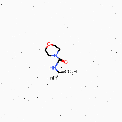 CCC[C@H](NC(=O)N1CCOCC1)C(=O)O